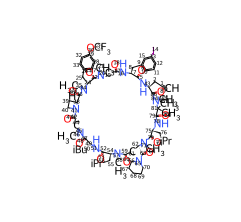 C#CC[C@@H]1NC(=O)[C@H](Cc2cccc(I)c2)NC(=O)CN(C)C(=O)[C@H](Cc2ccc(OC(F)(F)F)cc2)N(C)C(=O)[C@@H]2CCN2C(=O)CN(C)C(=O)[C@H]([C@@H](C)CC)NC(=O)[C@H](CC(C)C)N(C)C(=O)C[C@@H](C(=O)N2CCCCC2)N(C)C(=O)[C@H](CC(C)C)NC(=O)C(C)(C)N(C)C1=O